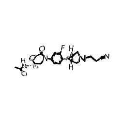 CC(=O)NC[C@H]1CN(c2ccc([C@H]3[C@@H]4CN(CCC#N)C[C@@H]43)c(F)c2)C(=O)O1